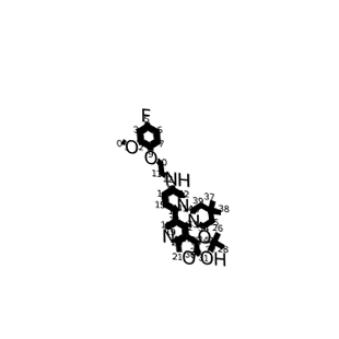 COc1cc(F)ccc1OCCNc1ccc(-c2cnc(C)c([C@H](OC(C)(C)C)C(=O)O)c2N2CCC(C)(C)CC2)nc1